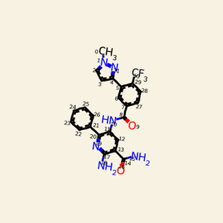 Cn1ccc(-c2cc(C(=O)Nc3cc(C(N)=O)c(N)nc3-c3ccccc3)ccc2C(F)(F)F)n1